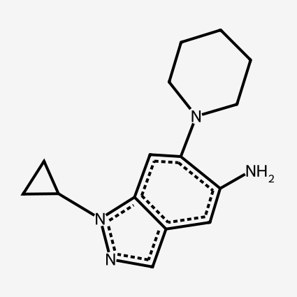 Nc1cc2cnn(C3CC3)c2cc1N1CCCCC1